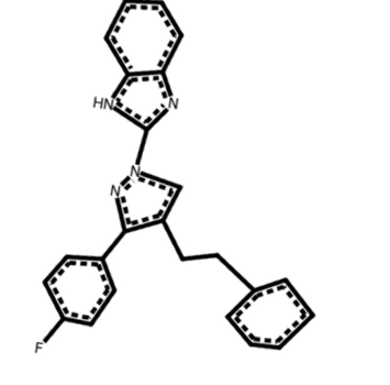 Fc1ccc(-c2nn(-c3nc4ccccc4[nH]3)cc2CCc2ccccc2)cc1